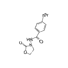 CCCc1ccc(C(=O)NN2CCOC2=O)cc1